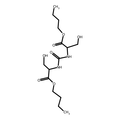 CCCCOC(=O)C(CO)NC(=O)NC(CO)C(=O)OCCCC